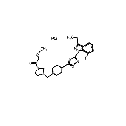 CCc1nn(-c2noc(C3CCN(C[C@H]4CCN(C(=O)COC)C4)CC3)n2)c2c(F)cccc12.Cl